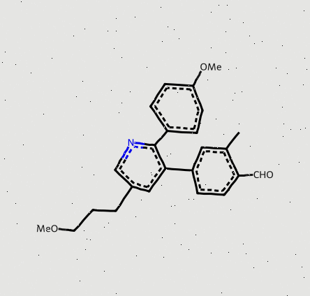 COCCCc1cnc(-c2ccc(OC)cc2)c(-c2ccc(C=O)c(C)c2)c1